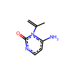 C=C(C)n1c(N)ccnc1=O